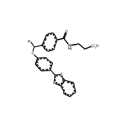 CCOC(=O)CCNC(=O)c1ccc(C(Oc2ccc(-c3nc4ccccc4s3)cc2)C(C)C)cc1